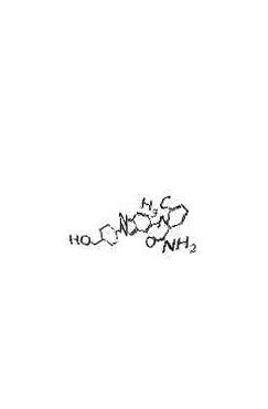 CC1=CC=CC(C(N)=O)N1c1ccc2nn(C3CCC(CO)CC3)cc2c1